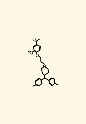 COc1cc(C(C)=O)ccc1OCCCN1CCC(=C(c2ccc(C)cc2)c2ccc(C)cc2)CC1